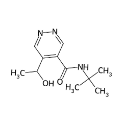 CC(O)c1cnncc1C(=O)NC(C)(C)C